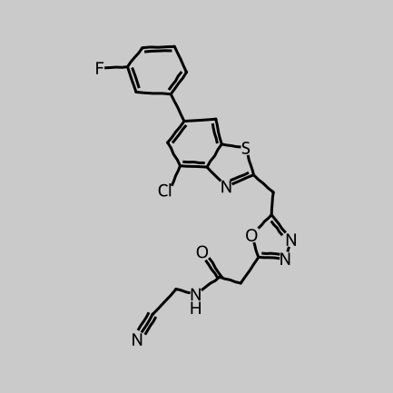 N#CCNC(=O)Cc1nnc(Cc2nc3c(Cl)cc(-c4cccc(F)c4)cc3s2)o1